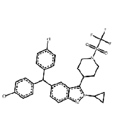 O=S(=O)(N1CCC(c2c3cc(C(c4ccc(Cl)cc4)c4ccc(Cl)cc4)ccc3nn2C2CC2)CC1)C(F)(F)F